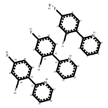 Fc1ccc(-c2ccccn2)c(F)c1.Fc1ccc(-c2ccccn2)c(F)c1.Fc1ccc(-c2ccccn2)c(F)c1.[Ir]